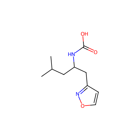 CC(C)CC(Cc1ccon1)NC(=O)O